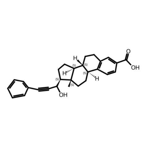 C[C@]12CC[C@@H]3c4ccc(C(=O)O)cc4CC[C@H]3[C@@H]1CC[C@@H]2C(O)C#Cc1ccccc1